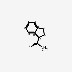 NC(=S)C1CCc2ccccc21